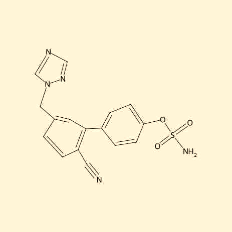 N#Cc1ccc(Cn2cncn2)cc1-c1ccc(OS(N)(=O)=O)cc1